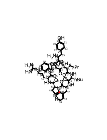 CCCC[C@H](NC(=O)[C@H](CC(C)C)N(C)C(=O)[C@H](Cc1ccccc1)NC(=O)[C@@H](N)Cc1ccc(O)cc1)C(=O)N[C@@H](Cc1ccncc1)C(=O)N1CCC[C@H]1C(=O)N[C@@H](CCCNC(=N)N)C(=O)NCC(=O)O